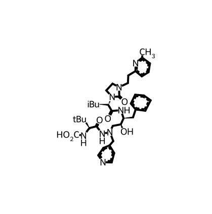 CC[C@H](C)[C@@H](C(=O)N[C@@H](Cc1ccccc1)[C@@H](O)CN(Cc1ccncc1)NC(=O)[C@@H](NC(=O)O)C(C)(C)C)N1CCN(CCc2cccc(C)n2)C1=O